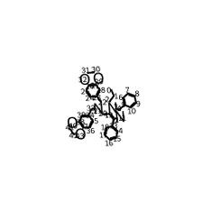 CCCn1c(-c2ccccc2)nc(-c2ccccc2)c1CN(Cc1ccc2c(c1)OCCO2)Cc1ccc2c(c1)OCCO2